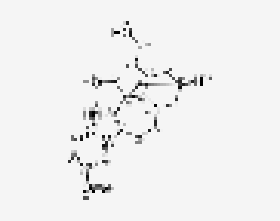 COc1ccc2[nH]c3c(c2c1)CCN1C[C@H]2CC(CCO)C1C3(CO)C2